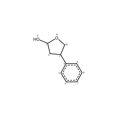 OC1CC(c2ccccc2)CO1